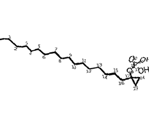 CCCCCCCCCCCCCCCCCC1(OP(=O)(O)O)CC1